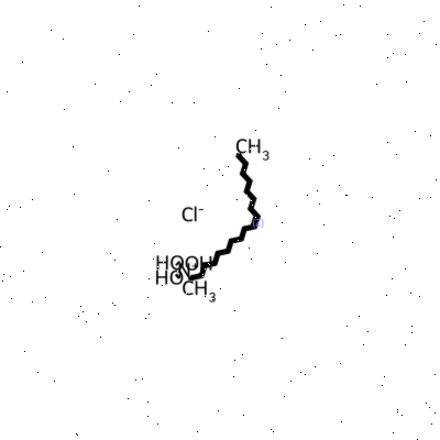 CCCCCCCC/C=C\CCCCCCCCC(C)[N+](O)(O)O.[Cl-]